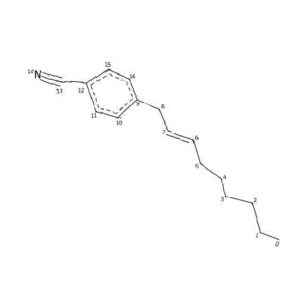 CCCCCCC=CCc1[c]cc(C#N)cc1